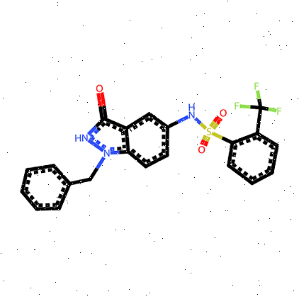 O=c1[nH]n(Cc2ccccc2)c2ccc(NS(=O)(=O)c3ccccc3C(F)(F)F)cc12